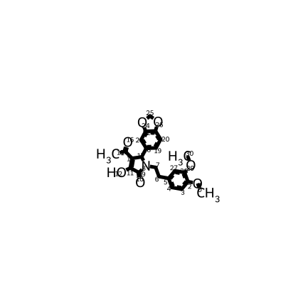 COc1ccc(CCN2C(=O)C(O)=C(C(C)=O)C2c2ccc3c(c2)OCO3)cc1OC